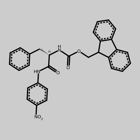 O=C(N[C@@H](Cc1ccccc1)C(=O)Nc1ccc([N+](=O)[O-])cc1)OCC1c2ccccc2-c2ccccc21